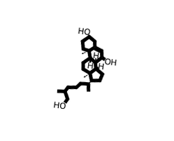 CC(CO)CCCC(C)[C@H]1CC[C@H]2[C@@H]3C(O)C=C4C[C@@H](O)CC[C@]4(C)[C@H]3CC[C@]12C